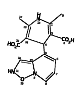 CC1=C(C(=O)O)C(C2=CC=CN3ONC=C23)C(C(=O)O)=C(C)N1